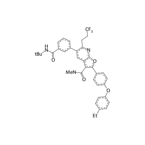 CCc1ccc(Oc2ccc(-c3oc4nc(CCC(F)(F)F)c(-c5cccc(C(=O)NC(C)(C)C)c5)cc4c3C(=O)NC)cc2)cc1